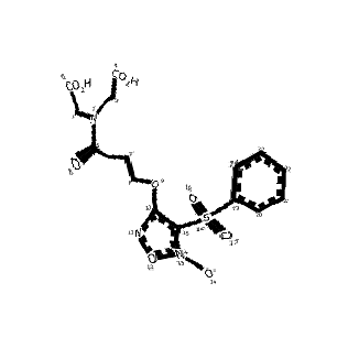 O=C(O)CN(CC(=O)O)C(=O)CCOc1no[n+]([O-])c1S(=O)(=O)c1ccccc1